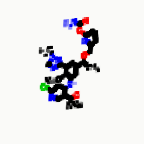 CNC(=O)c1cnc(Cl)cc1Nc1cc(C(C)OCc2cccc(OC(N)=O)n2)cc(-c2ncn(C)n2)c1OC